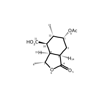 CC(=O)O[C@@H]1C[C@H]2C(=O)O[C@H](C)[C@H]2[C@@H](C(=O)O)[C@@H]1C